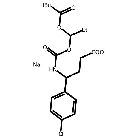 CCC(OC(=O)NC(CCC(=O)[O-])c1ccc(Cl)cc1)OC(=O)C(C)(C)C.[Na+]